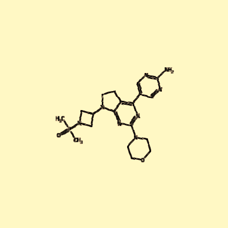 CP(C)(=O)N1CC(N2CCc3c(-c4cnc(N)nc4)nc(N4CCOCC4)nc32)C1